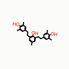 Cc1cc(CCc2cc(C)c(O)c(C)c2)c(O)c(CCc2cc(C)c(O)c(C)c2)c1